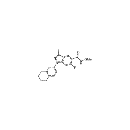 CSNC(=O)c1cc2c(C)nn(-c3ccc4c(c3)CCCC4)c2cc1F